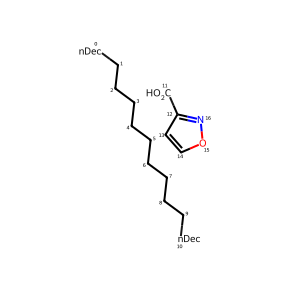 CCCCCCCCCCCCCCCCCCCCCCCCCCCCC.O=C(O)c1ccon1